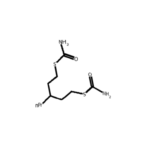 CCCC(CCSC(N)=O)CCSC(N)=O